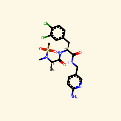 CCC(C)[C@H](C(=O)N[C@@H](Cc1ccc(Cl)c(Cl)c1)C(=O)NCc1ccc(N)nc1)N(C)S(C)(=O)=O